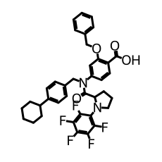 O=C(O)c1ccc(N(Cc2ccc(C3CCCCC3)cc2)C(=O)C2CCCN2c2c(F)c(F)c(F)c(F)c2F)cc1OCc1ccccc1